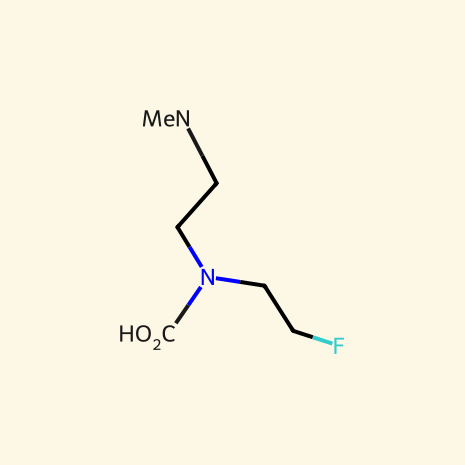 CNCCN(CCF)C(=O)O